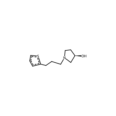 O[C@@H]1CCN(CCCc2cccs2)C1